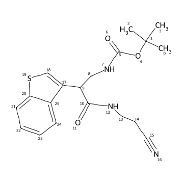 CC(C)(C)OC(=O)NCC(C(=O)NCCC#N)c1csc2ccccc12